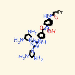 CC(C)CC(=O)Nc1ccc(N(O)C(=O)c2ccc(Nc3nc(N4C[C@H](N)C[C@H](N)C4)nc(N4C[C@H](N)C[C@H](N)C4)n3)cc2)cc1